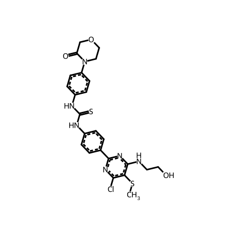 CSc1c(Cl)nc(-c2ccc(NC(=S)Nc3ccc(N4CCOCC4=O)cc3)cc2)nc1NCCO